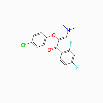 CN(C)/C=C(\Oc1ccc(Cl)cc1)C(=O)c1ccc(F)cc1F